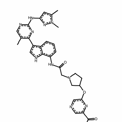 Cc1cnc(Nc2cc(C)n(C)n2)nc1-c1c[nH]c2c(NC(=O)CN3CCC(Oc4cncc(C(N)=O)n4)C3)cccc12